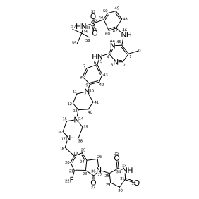 Cc1cnc(Nc2ccc(N3CCC(N4CCN(Cc5cc(F)c6c(c5)CN(C5CCC(=O)NC5=O)C6=O)CC4)CC3)cc2)nc1Nc1cccc(S(=O)(=O)NC(C)(C)C)c1